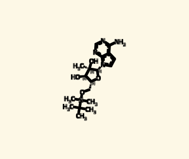 CC(C)(C)[Si](C)(C)OC[C@H]1O[C@@H](n2ccc3c(N)ncnc32)[C@](C)(O)[C@@H]1O